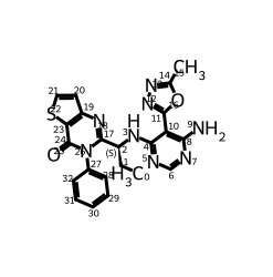 CC[C@H](Nc1ncnc(N)c1-c1nnc(C)o1)c1nc2ccsc2c(=O)n1-c1ccccc1